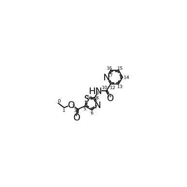 CCOC(=O)c1cnc(NC(=O)c2ccccn2)s1